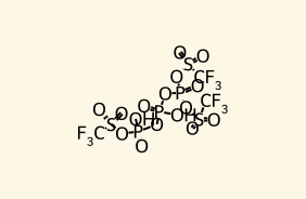 O=P(O)(OP(=O)(O)OS(=O)(=O)C(F)(F)F)OP(=O)(OS(=O)(=O)C(F)(F)F)OS(=O)(=O)C(F)(F)F